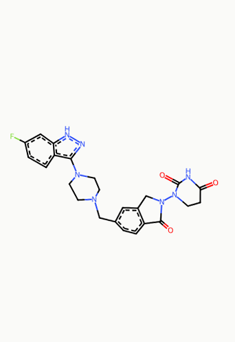 O=C1CCN(N2Cc3cc(CN4CCN(c5n[nH]c6cc(F)ccc56)CC4)ccc3C2=O)C(=O)N1